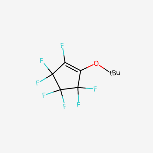 CC(C)(C)OC1=C(F)C(F)(F)C(F)(F)C1(F)F